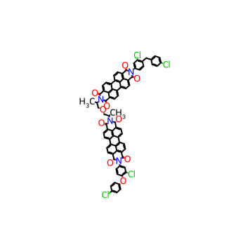 CC(COCC(C)N1C(=O)c2ccc3c4ccc5c6c(ccc(c7ccc(c2c37)C1=O)c64)C(=O)N(c1ccc(Oc2ccc(Cl)cc2)c(Cl)c1)C5=O)N1C(=O)c2ccc3c4ccc5c6c(ccc(c7ccc(c2c37)C1=O)c64)C(=O)N(c1ccc(Cc2ccc(Cl)cc2)c(Cl)c1)C5=O